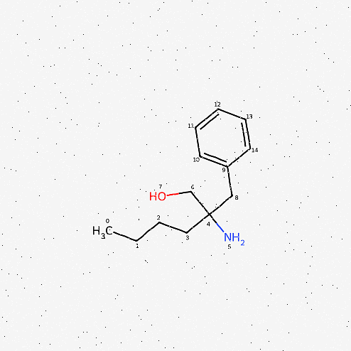 CCCCC(N)(CO)Cc1ccccc1